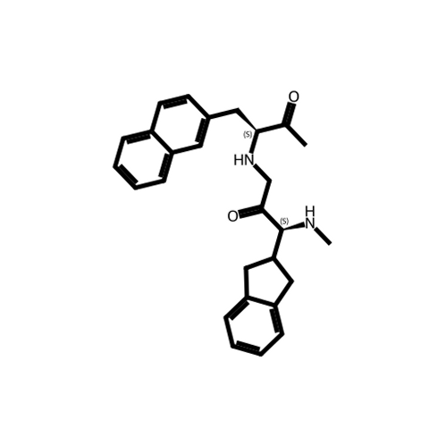 CN[C@H](C(=O)CN[C@@H](Cc1ccc2ccccc2c1)C(C)=O)C1Cc2ccccc2C1